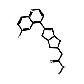 CC(C)NC(=O)CC1CC2C=C(c3ccnc4ccc(F)cc34)CC2C1